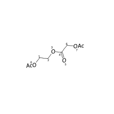 CC(=O)OCCOC(=O)COC(C)=O